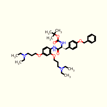 CCN(CC)CCCOc1ccc(NC(=O)[C@@H](Cc2ccc(OCc3ccccc3)cc2)NC(=O)OC(C)(C)C)c(OCCCN(CC)CC)c1